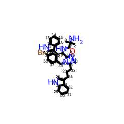 CC(C)(N)C(=O)N[C@H](Cc1c[nH]c2ccccc12)c1nnc(CCCc2c[nH]c3ccccc23)n1Cc1ccc(Br)cc1